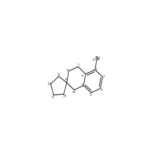 Brc1cccc2c1CCC1(CCCC1)C2